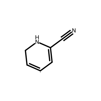 N#CC1=C[C]=CCN1